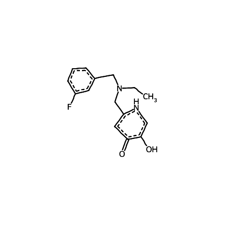 CCN(Cc1cccc(F)c1)Cc1cc(=O)c(O)c[nH]1